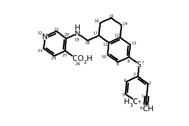 C#C/C=C(\C=C/C)Sc1ccc2c(c1)CCCC2CNc1cnccc1C(=O)O